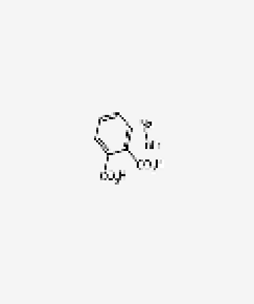 CC[CH2][Na].O=C(O)c1ccccc1C(=O)O